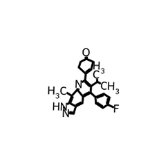 Cc1c2nc(C3=CCC(=O)CC3)c(C(C)C)c(-c3ccc(F)cc3)c2cc2cn[nH]c12